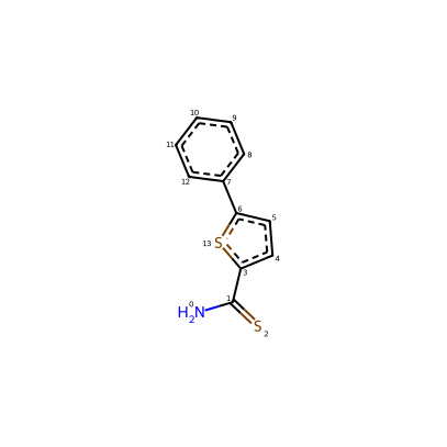 NC(=S)c1ccc(-c2ccccc2)s1